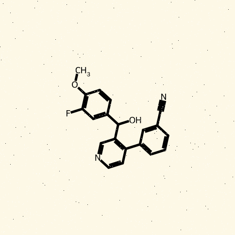 COc1ccc(C(O)c2cnccc2-c2cccc(C#N)c2)cc1F